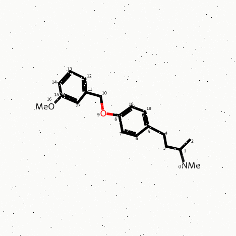 CNC(C)CCc1ccc(OCc2cccc(OC)c2)cc1